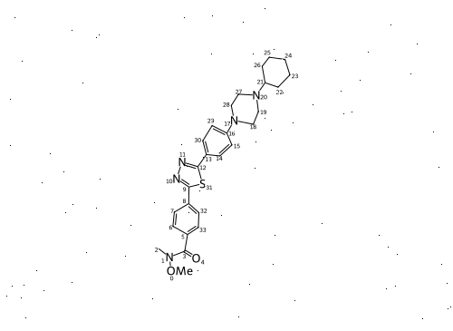 CON(C)C(=O)c1ccc(-c2nnc(-c3ccc(N4CCN(C5CCCCC5)CC4)cc3)s2)cc1